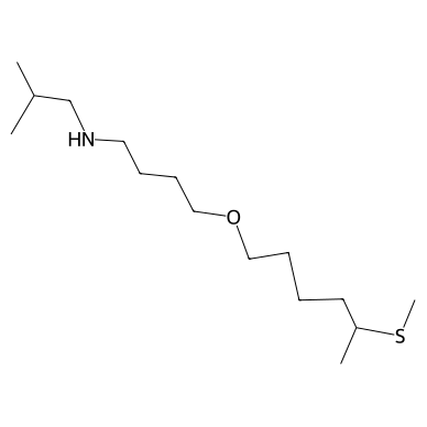 CSC(C)CCCCOCCCCNCC(C)C